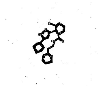 O=C(NCCc1ccccn1)c1cccc(Cl)c1-c1cc(-c2ccccc2)[nH]n1